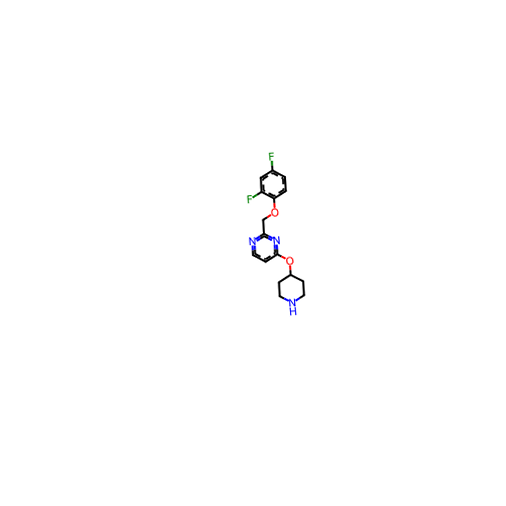 Fc1ccc(OCc2nccc(OC3CCNCC3)n2)c(F)c1